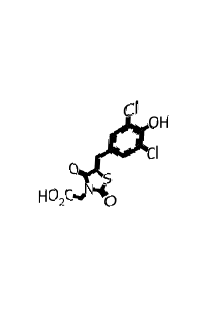 O=C(O)CN1C(=O)S/C(=C\c2cc(Cl)c(O)c(Cl)c2)C1=O